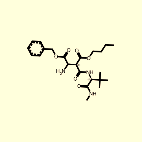 CCCCOC(=O)[C@@H](C(=O)N[C@H](C(=O)NC)C(C)(C)C)C(N)C(=O)OCc1ccccc1